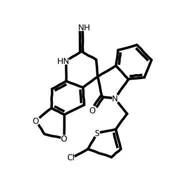 N=C1CC2(C(=O)N(CC3=CCC(Cl)S3)c3ccccc32)c2cc3c(cc2N1)OCO3